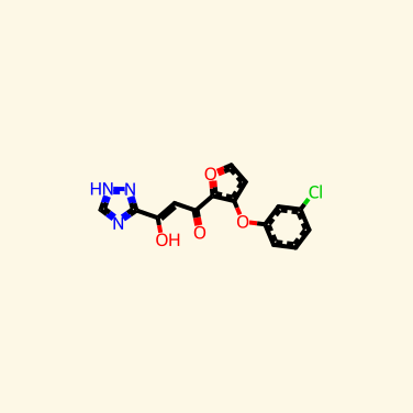 O=C(C=C(O)c1nc[nH]n1)c1occc1Oc1cccc(Cl)c1